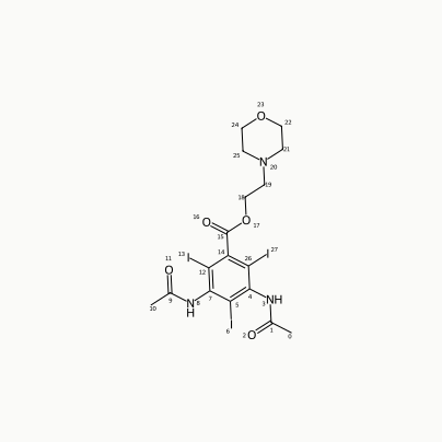 CC(=O)Nc1c(I)c(NC(C)=O)c(I)c(C(=O)OCCN2CCOCC2)c1I